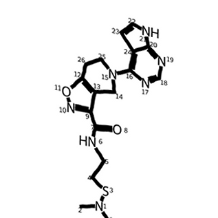 CN(C)SCCNC(=O)c1noc2c1CN(c1ncnc3[nH]ccc13)CC2